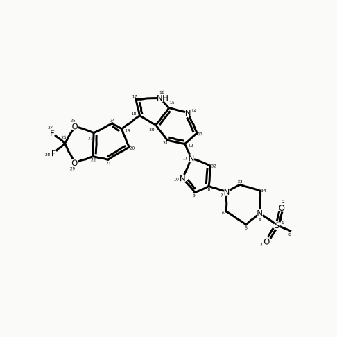 CS(=O)(=O)N1CCN(c2cnn(-c3cnc4[nH]cc(-c5ccc6c(c5)OC(F)(F)O6)c4c3)c2)CC1